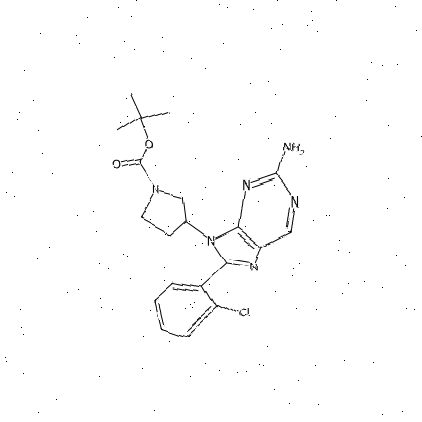 CC(C)(C)OC(=O)N1CCC(n2c(-c3ccccc3Cl)nc3cnc(N)nc32)C1